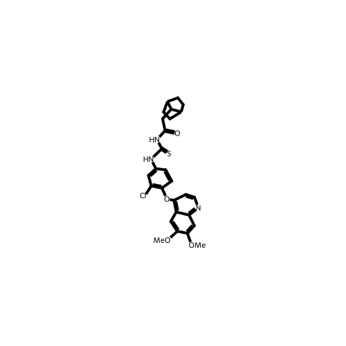 COc1cc2nccc(Oc3ccc(NC(=S)NC(=O)CC4C5CCC4CC5)cc3Cl)c2cc1OC